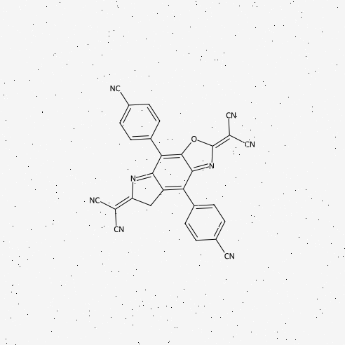 N#CC(C#N)=C1Cc2c(-c3ccc(C#N)cc3)c3nc(=C(C#N)C#N)oc3c(-c3ccc(C#N)cc3)c2=N1